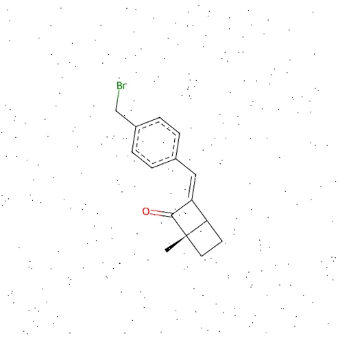 C[C@]12CCC1/C(=C/c1ccc(CBr)cc1)C2=O